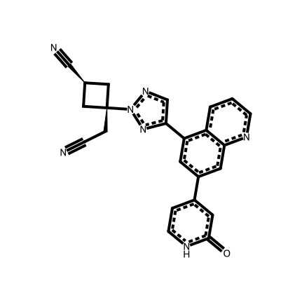 N#CC[C@]1(n2ncc(-c3cc(-c4cc[nH]c(=O)c4)cc4ncccc34)n2)C[C@H](C#N)C1